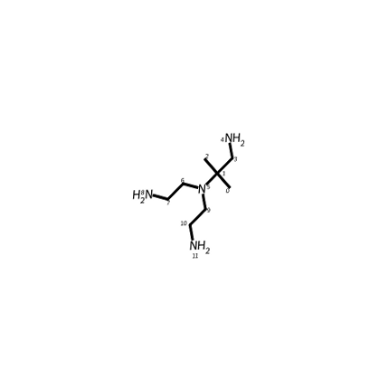 CC(C)(CN)N(CCN)CCN